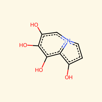 Oc1cn2ccc(O)c2c(O)c1O